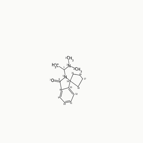 CC(N(C)C)N1C(=O)c2ccccc2C12CCCC2